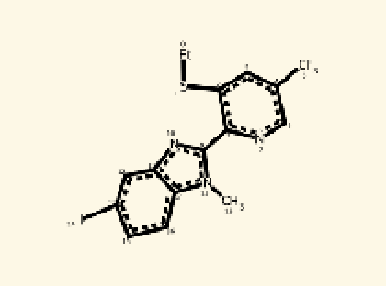 CCSc1cc(C(F)(F)F)cnc1-c1nc2cc(I)ccc2n1C